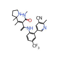 C=C(Nc1ccc(C(F)(F)F)cc1-c1cnc(C)c(C#N)c1)C1=C(C)C2(C)CCCN2N(C)C1=O